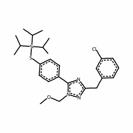 COCn1nc(Cc2cccc(Cl)c2)nc1-c1ccc(S[Si](C(C)C)(C(C)C)C(C)C)cc1